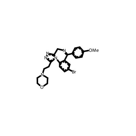 COc1ccc(C2=NCc3nnc(CCN4CCOCC4)n3-c3ccc(Br)cc32)cc1